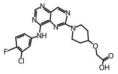 O=C(O)COC1CCN(c2ncc3ncnc(Nc4ccc(F)c(Cl)c4)c3n2)CC1